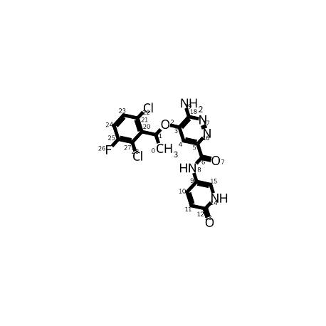 CC(Oc1cc(C(=O)Nc2ccc(=O)[nH]c2)nnc1N)c1c(Cl)ccc(F)c1Cl